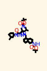 Cc1cccc(NC(=O)c2nn(Cc3cccc4cc(NC(=O)OC(C)(C)C)ccc34)c3c2CN(C(=O)OC(C)(C)C)CC3C)c1